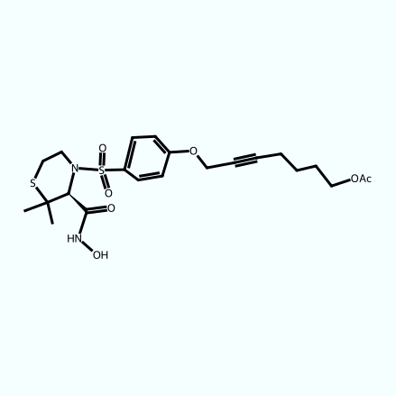 CC(=O)OCCCCC#CCOc1ccc(S(=O)(=O)N2CCSC(C)(C)[C@@H]2C(=O)NO)cc1